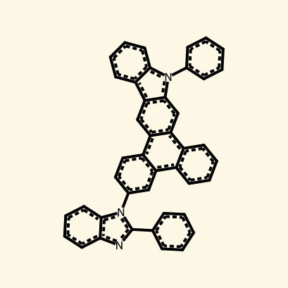 c1ccc(-c2nc3ccccc3n2-c2ccc3c(c2)c2ccccc2c2cc4c(cc32)c2ccccc2n4-c2ccccc2)cc1